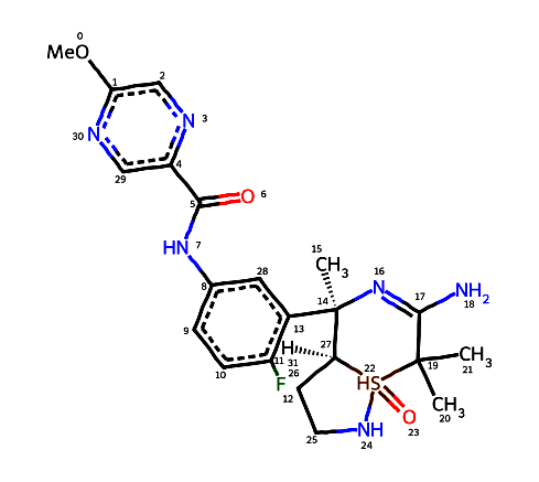 COc1cnc(C(=O)Nc2ccc(F)c([C@@]3(C)N=C(N)C(C)(C)[SH]4(=O)NCC[C@@H]34)c2)cn1